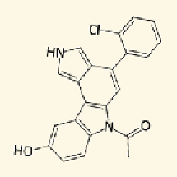 CC(=O)n1c2ccc(O)cc2c2c3c[nH]cc3c(-c3ccccc3Cl)cc21